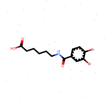 O=C(O)CCCCCNC(=O)c1ccc(Br)c(Br)c1